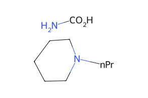 CCCN1CCCCC1.NC(=O)O